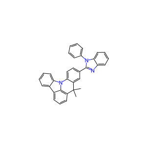 CC1(C)c2cc(-c3nc4ccccc4n3-c3ccccc3)ccc2-n2c3ccccc3c3cccc1c32